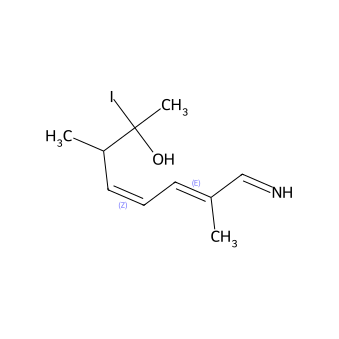 C/C(C=N)=C\C=C/C(C)C(C)(O)I